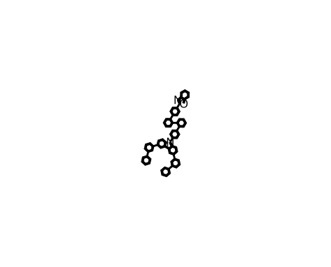 c1ccc(-c2cccc(-c3ccc4c(c3)c3cc(-c5cccc(-c6ccccc6)c5)ccc3n4-c3ccc(-c4ccccc4-c4ccccc4-c4ccc(-c5nc6ccccc6o5)cc4)cc3)c2)cc1